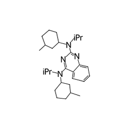 CC1CCCC(N(c2nc(N(C(C)C)C3CCCC(C)C3)c3ccccc3n2)C(C)C)C1